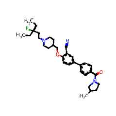 CCC(F)(CC)CCN1CCC(COc2ccc(-c3ccc(C(=O)N4CCC(C)C4)cc3)cc2C#N)CC1